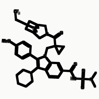 COc1ccc(-c2c(C3CCCCC3)c3ccc(C(=O)NS(=O)(=O)N(C)C)cc3n2CC2(C(=O)N3CC45CCC4(CN(CC(F)(F)F)C5)C3)CC2)cc1